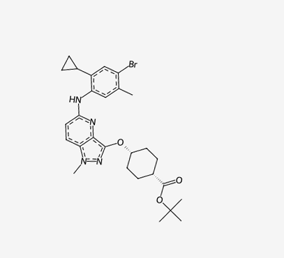 Cc1cc(Nc2ccc3c(n2)c(O[C@H]2CC[C@@H](C(=O)OC(C)(C)C)CC2)nn3C)c(C2CC2)cc1Br